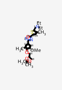 CCN(CC)Cc1sc(-c2nc(-c3cc(C)c(OCC4COC(C)(C)O4)c(OC)c3)no2)cc1C